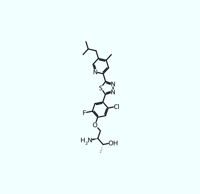 Cc1cc(-c2nnc(-c3cc(F)c(OC[C@H](N)[C@@H](C)O)cc3Cl)s2)ncc1CC(C)C